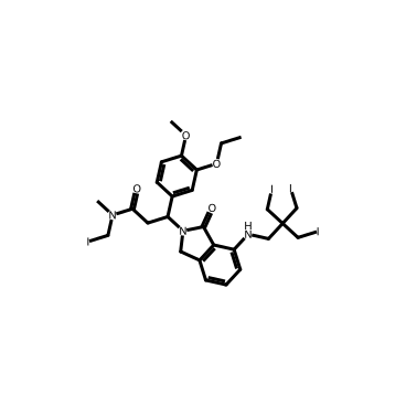 CCOc1cc(C(CC(=O)N(C)CI)N2Cc3cccc(NCC(CI)(CI)CI)c3C2=O)ccc1OC